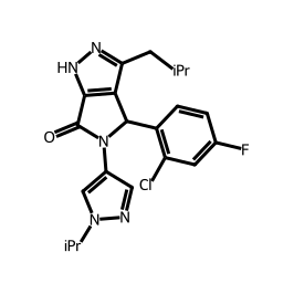 CC(C)Cc1n[nH]c2c1C(c1ccc(F)cc1Cl)N(c1cnn(C(C)C)c1)C2=O